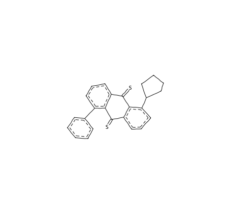 S=C1c2cccc(C3CCCC3)c2C(=S)c2cccc(-c3ccccc3)c21